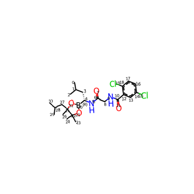 CC(C)C[C@H](NC(=O)CNC(=O)c1cc(Cl)ccc1Cl)B1OC(C)(C)C(C)(CC(C)C)O1